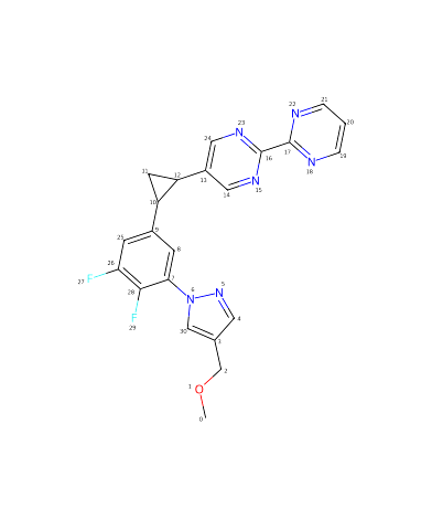 COCc1cnn(-c2cc(C3CC3c3cnc(-c4ncccn4)nc3)cc(F)c2F)c1